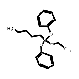 CCCCC[Si](OCC)(Oc1ccccc1)Oc1ccccc1